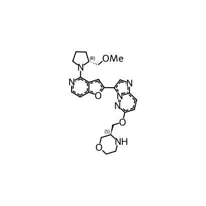 COC[C@H]1CCCN1c1nccc2oc(-c3cnc4ccc(OC[C@@H]5COCCN5)nn34)cc12